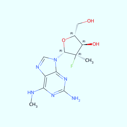 CNc1nc(N)nc2c1ncn2[C@@H]1O[C@H](CO)[C@@H](O)[C@@]1(C)F